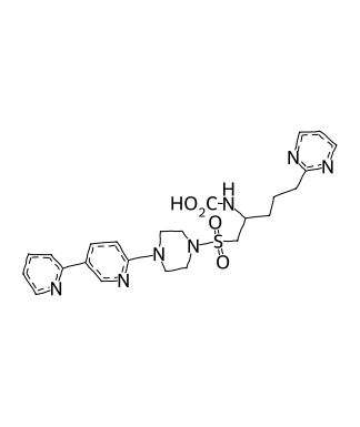 O=C(O)NC(CCCc1ncccn1)CS(=O)(=O)N1CCN(c2ccc(-c3ccccn3)cn2)CC1